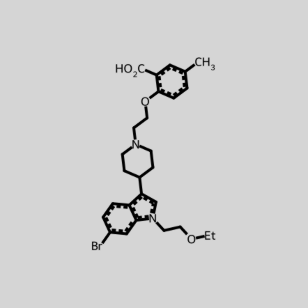 CCOCCn1cc(C2CCN(CCOc3ccc(C)cc3C(=O)O)CC2)c2ccc(Br)cc21